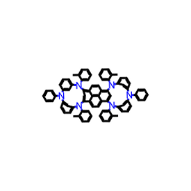 Cc1ccccc1N1c2cccc(c2)N(c2ccccc2)c2cccc(c2)N(c2ccccc2C)c2cc1c1ccc3c4cc(c5ccc2c1c35)N(c1ccccc1C)c1cccc(c1)N(c1ccccc1)c1cccc(c1)N4c1ccccc1C